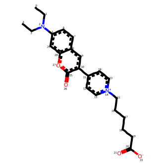 CCN(CC)c1ccc2cc(-c3cc[n+](CCCCCC(=O)[O-])cc3)c(=O)oc2c1